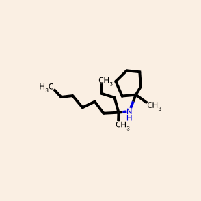 CCCCCCC(C)(CCC)NC1(C)CCCCC1